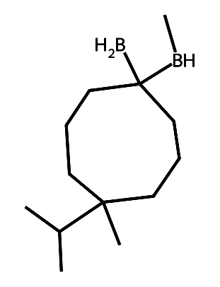 BC1(BC)CCCC(C)(C(C)C)CCC1